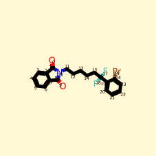 O=C1c2ccccc2C(=O)N1CCCCCC(F)(F)c1ccccc1Br